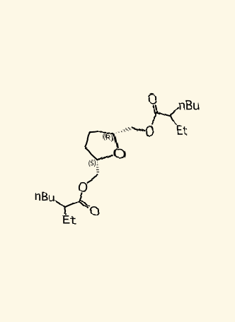 CCCCC(CC)C(=O)OC[C@H]1CC[C@@H](COC(=O)C(CC)CCCC)O1